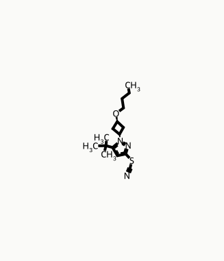 CCCCO[C@H]1C[C@H](n2nc(SC#N)cc2C(C)(C)C)C1